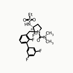 CCS(=O)(=O)N[C@@H]1CCN(C(=O)N(C)C)[C@]1(F)Cc1cccc(-c2cc(F)cc(F)c2)c1F